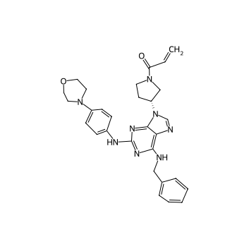 C=CC(=O)N1CC[C@@H](n2cnc3c(NCc4ccccc4)nc(Nc4ccc(N5CCOCC5)cc4)nc32)C1